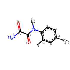 CCN(C(=O)C(N)=O)c1ccc(C(F)(F)F)cc1C